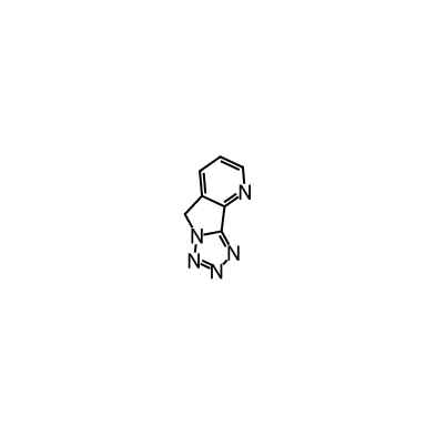 c1cnc2c(c1)Cn1nnnc1-2